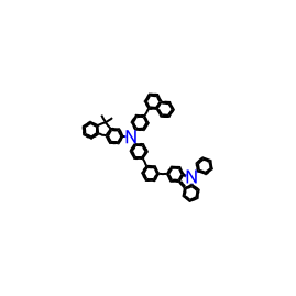 CC1(C)c2ccccc2-c2ccc(N(c3ccc(-c4cccc(-c5ccc6c(c5)c5ccccc5n6-c5ccccc5)c4)cc3)c3ccc(-c4cccc5ccccc45)cc3)cc21